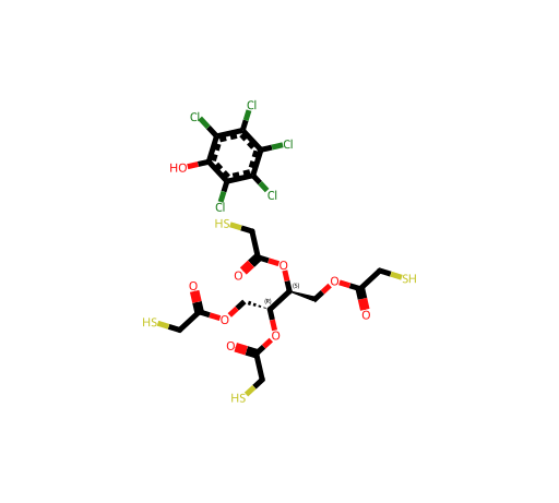 O=C(CS)OC[C@H](OC(=O)CS)[C@@H](COC(=O)CS)OC(=O)CS.Oc1c(Cl)c(Cl)c(Cl)c(Cl)c1Cl